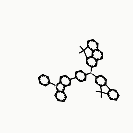 CC1(C)c2ccccc2-c2ccc(N(c3ccc(-c4ccc5c(c4)c4ccccc4n5-c4ccccc4)cc3)c3cc4c5c(ccc6cccc(c65)C4(C)C)c3)cc21